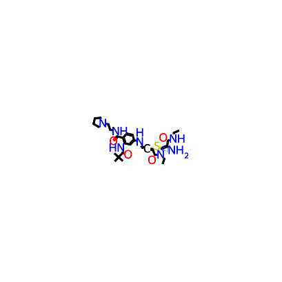 CCNC(=O)/C(N)=c1\sc(=C=CNc2ccc(C(=O)NCCN3CCCC3)c(NC(=O)C(C)(C)C)c2)c(=O)n1CC